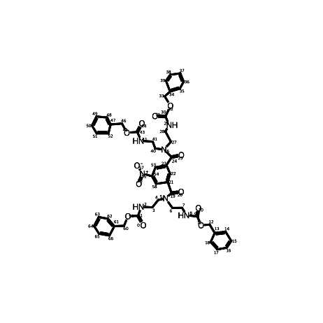 O=C(NCCN(CCNC(=O)OCc1ccccc1)C(=O)c1cc(C(=O)N(CCNC(=O)OCc2ccccc2)CCNC(=O)OCc2ccccc2)cc([N+](=O)[O-])c1)OCc1ccccc1